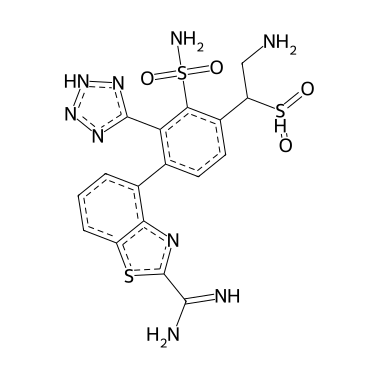 N=C(N)c1nc2c(-c3ccc(C(CN)[SH](=O)=O)c(S(N)(=O)=O)c3-c3nn[nH]n3)cccc2s1